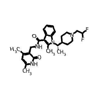 Cc1cc(C)c(CNC(=O)c2c(C)n([C@@H](C)C3CCN(CC(F)F)CC3)c3ccccc23)c(=O)[nH]1